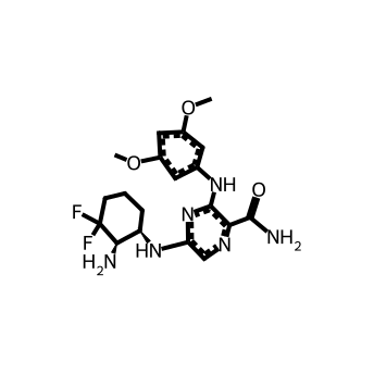 COc1cc(Nc2nc(N[C@@H]3CCCC(F)(F)[C@@H]3N)cnc2C(N)=O)cc(OC)c1